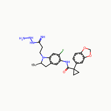 CC(C)(C)C1Cc2cc(NC(=O)C3(c4ccc5c(c4)OCO5)CC3)c(F)cc2N1CCC(=N)NNN